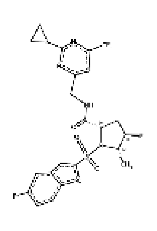 C[C@H]1[C@H](F)C[C@@H](C(=O)NCc2cc(C(F)(F)F)nc(C3CC3)n2)N1S(=O)(=O)c1cc2cc(F)ccc2o1